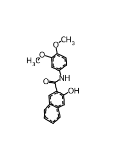 COc1ccc(NC(=O)c2cc3ccccc3cc2O)cc1OC